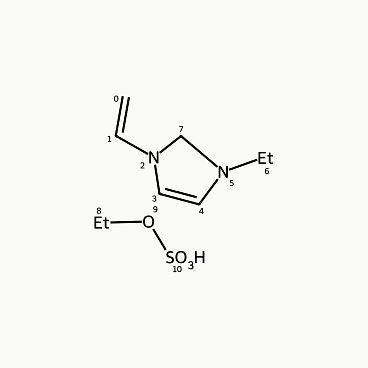 C=CN1C=CN(CC)C1.CCOS(=O)(=O)O